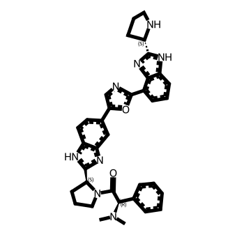 CN(C)[C@@H](C(=O)N1CCC[C@H]1c1nc2cc(-c3cnc(-c4cccc5[nH]c([C@@H]6CCCN6)nc45)o3)ccc2[nH]1)c1ccccc1